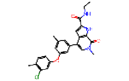 CCNC(=O)c1cc2c(-c3cc(C)cc(Oc4ccc(C)c(Cl)c4)c3)cn(C)c(=O)c2[nH]1